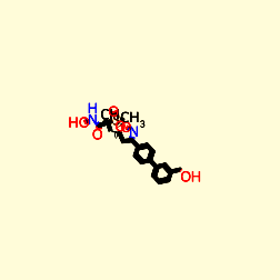 C[C@@](C[C@H]1CC(c2ccc(-c3cccc(CO)c3)cc2)=NO1)(C(=O)NO)S(C)(=O)=O